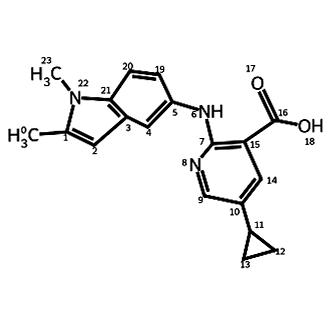 Cc1cc2cc(Nc3ncc(C4CC4)cc3C(=O)O)ccc2n1C